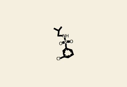 CC(C)CNS(=O)(=O)c1cccc(Cl)c1